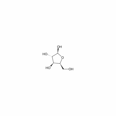 OC[C@@H]1O[C@H](O)[C@@H](O)[C@@H]1O